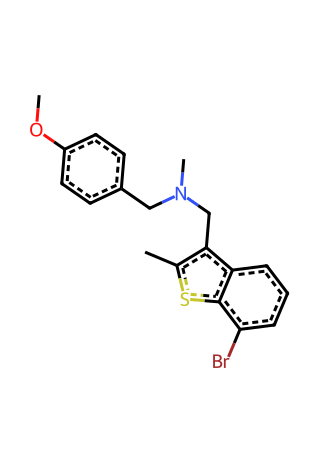 COc1ccc(CN(C)Cc2c(C)sc3c(Br)cccc23)cc1